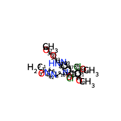 C=CC(=O)N1CCN(CCCn2c(=O)c(-c3c(Cl)c(OC)cc(OC)c3Cl)cc3cnc(NCCOCCOC)cc32)CC1